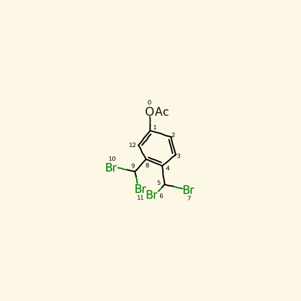 CC(=O)Oc1ccc(C(Br)Br)c(C(Br)Br)c1